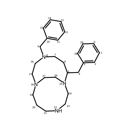 c1ccc(CC2CCN(Cc3ccccc3)CCN3CCCNCCN2CC3)cc1